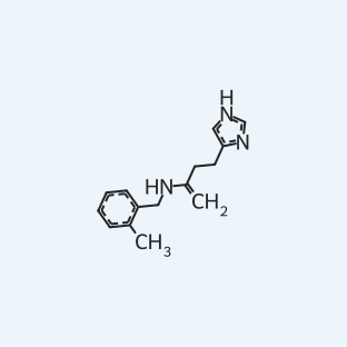 C=C(CCc1c[nH]cn1)NCc1ccccc1C